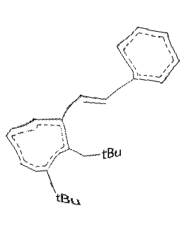 CC(C)(C)c1cccc(C=Cc2ccccc2)c1C(C)(C)C